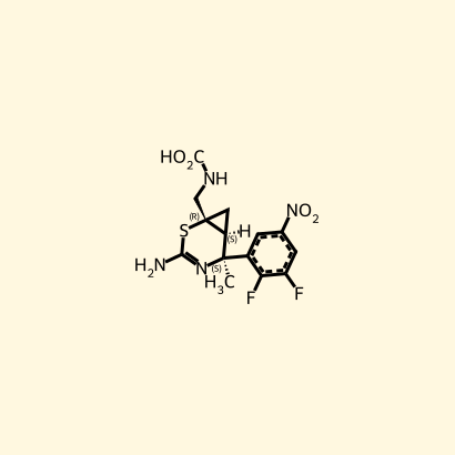 C[C@]1(c2cc([N+](=O)[O-])cc(F)c2F)N=C(N)S[C@]2(CNC(=O)O)C[C@H]21